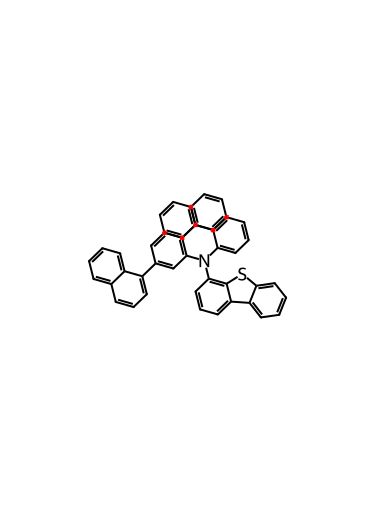 c1ccc(-c2ccccc2N(c2cc(-c3cccc4ccccc34)ccc2-c2ccccc2)c2cccc3c2sc2ccccc23)cc1